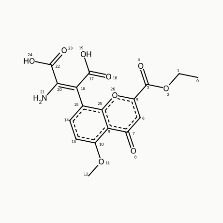 CCOC(=O)c1cc(=O)c2c(OC)ccc(C(C(=O)O)=C(N)C(=O)O)c2o1